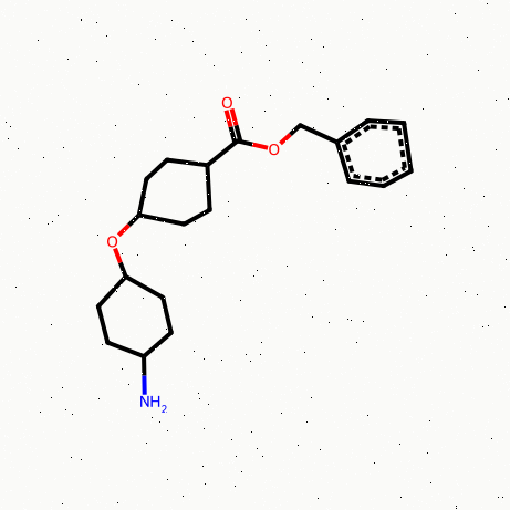 NC1CCC(OC2CCC(C(=O)OCc3ccccc3)CC2)CC1